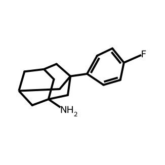 NC12CC3CC(C1)CC(c1ccc(F)cc1)(C3)C2